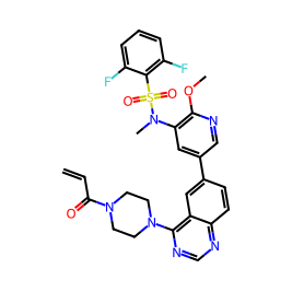 C=CC(=O)N1CCN(c2ncnc3ccc(-c4cnc(OC)c(N(C)S(=O)(=O)c5c(F)cccc5F)c4)cc23)CC1